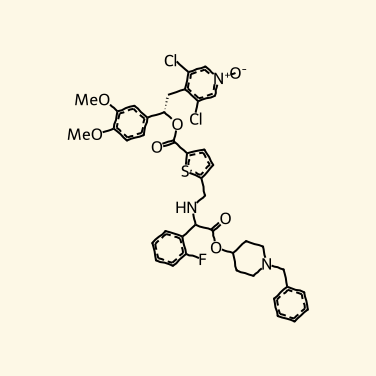 COc1ccc([C@H](Cc2c(Cl)c[n+]([O-])cc2Cl)OC(=O)c2ccc(CNC(C(=O)OC3CCN(Cc4ccccc4)CC3)c3ccccc3F)s2)cc1OC